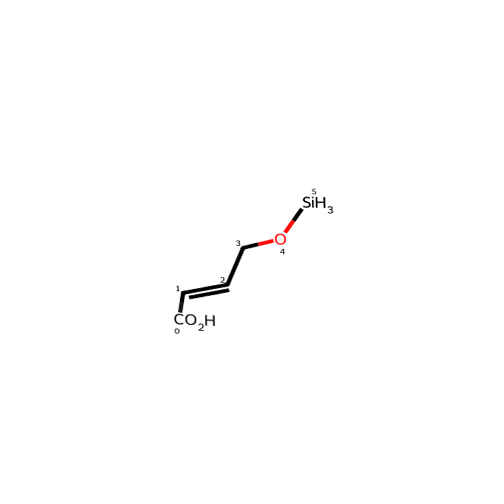 O=C(O)C=CCO[SiH3]